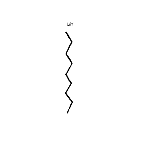 CCCCCCCCC.[LiH]